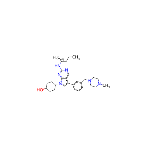 CCC[C@H](C)Nc1ncc2c(-c3cccc(CN4CCN(C)CC4)c3)cn([C@H]3CC[C@H](O)CC3)c2n1